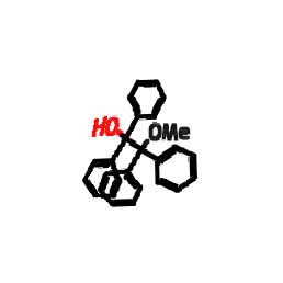 COC(c1ccccc1)(c1ccccc1)C(O)(c1ccccc1)c1ccccc1